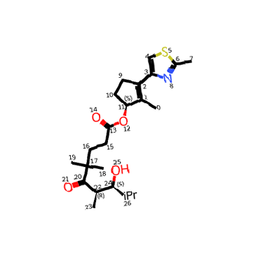 CC1=C(c2csc(C)n2)CC[C@@H]1OC(=O)CCC(C)(C)C(=O)[C@H](C)[C@@H](O)C(C)C